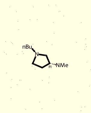 CCCCN1CC[C@@H](NC)C1